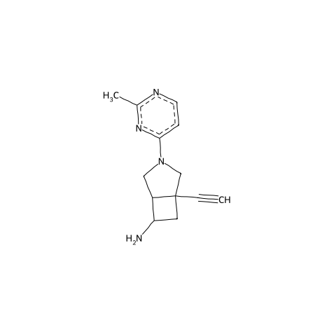 C#CC12CC(N)C1CN(c1ccnc(C)n1)C2